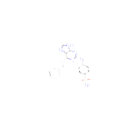 NS(=O)(=O)c1ccc(Nc2nc(OCC3CC=CCC3)c3nc[nH]c3n2)cc1